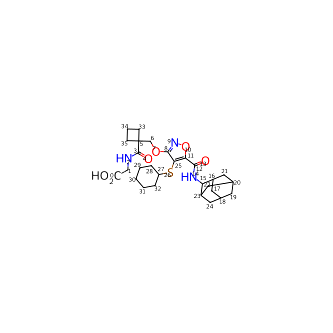 O=C(O)CNC(=O)C1(COc2noc(C(=O)NC3C4CC5CC(C4)CC3C5)c2SC2CCCCC2)CCC1